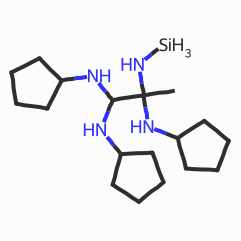 CC(N[SiH3])(NC1CCCC1)C(NC1CCCC1)NC1CCCC1